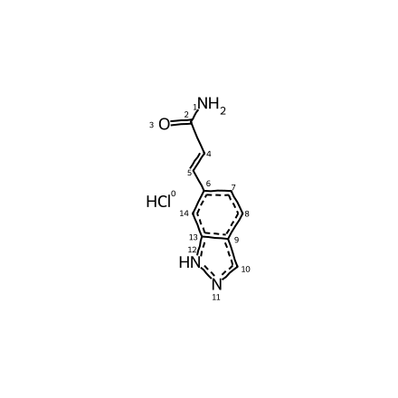 Cl.NC(=O)C=Cc1ccc2cn[nH]c2c1